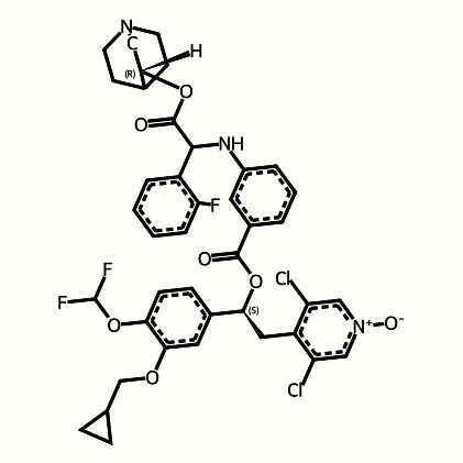 O=C(O[C@@H](Cc1c(Cl)c[n+]([O-])cc1Cl)c1ccc(OC(F)F)c(OCC2CC2)c1)c1cccc(NC(C(=O)O[C@H]2CN3CCC2CC3)c2ccccc2F)c1